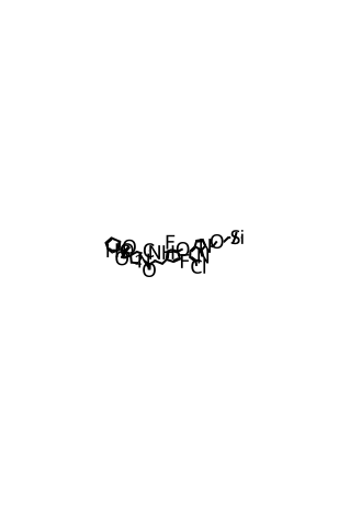 C[Si](C)(C)CCOCn1ccc2c(Oc3c(F)cc(CC(NC(=O)O)C(=O)N4CCC(S(=O)(=O)c5ccccc5)CC4)cc3F)cc(Cl)nc21